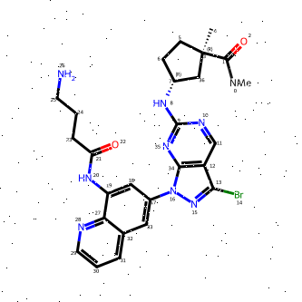 CNC(=O)[C@]1(C)CC[C@@H](Nc2ncc3c(Br)nn(-c4cc(NC(=O)CCCN)c5ncccc5c4)c3n2)C1